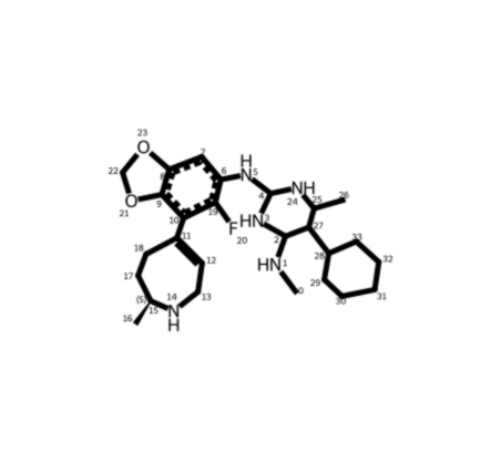 CNC1NC(Nc2cc3c(c(C4=CCN[C@@H](C)CC4)c2F)OCO3)NC(C)C1C1CCCCC1